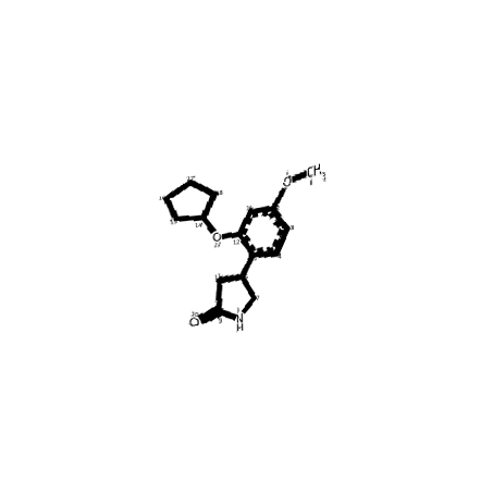 COc1ccc(C2CNC(=O)C2)c(OC2CCCC2)c1